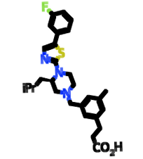 Cc1cc(CCC(=O)O)cc(CN2CCN(c3ncc(-c4cccc(F)c4)s3)[C@H](CC(C)C)C2)c1